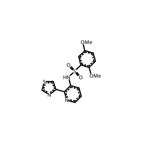 COc1ccc(OC)c(S(=O)(=O)Nc2cccnc2-c2cscn2)c1